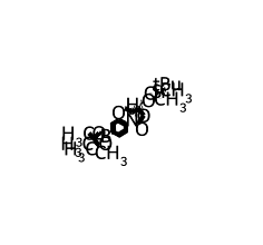 CC1(C)OB(c2ccc3c(c2)OC[C@H]2[C@H](COO[Si](C)(C)C(C)(C)C)OC(=O)N32)OC1(C)C